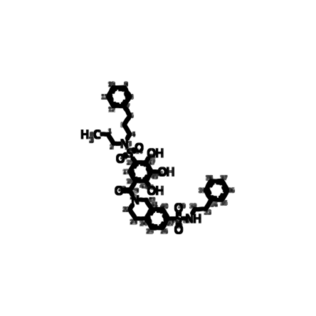 CCCN(CCCc1ccccc1)S(=O)(=O)c1cc(C(=O)N2CCc3ccc(S(=O)(=O)NCCc4ccccc4)cc3C2)c(O)c(O)c1O